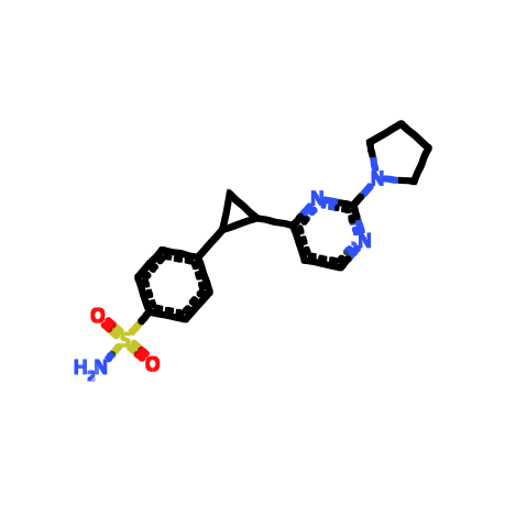 NS(=O)(=O)c1ccc(C2CC2c2ccnc(N3CCCC3)n2)cc1